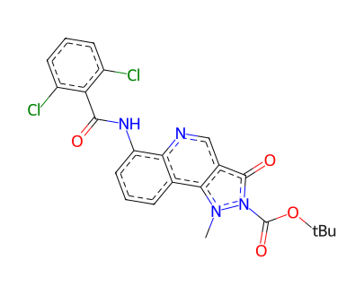 Cn1c2c(cnc3c(NC(=O)c4c(Cl)cccc4Cl)cccc32)c(=O)n1C(=O)OC(C)(C)C